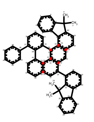 CC1(C)c2ccccc2-c2c(N(c3cccc(-c4cccc5c4C(C)(C)c4ccccc4-5)c3)c3cccc(-c4ccccc4)c3-c3ccccc3-c3ccccc3)cccc21